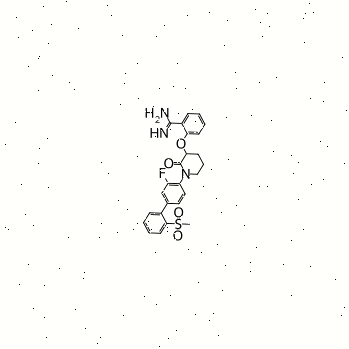 CS(=O)(=O)c1ccccc1-c1ccc(N2CCCC(Oc3ccccc3C(=N)N)C2=O)c(F)c1